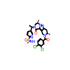 CC(c1ccc(S(C)(=N)=O)nc1)N1C[C@@H](C)n2nc3c(c2C1=O)CN(C(=O)c1ccc(Cl)c(Cl)c1)[C@H](C)C3